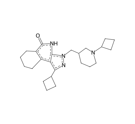 O=c1[nH]c2c(c(C3CCC3)nn2CC2CCCN(C3CCC3)C2)c2c1CCCC2